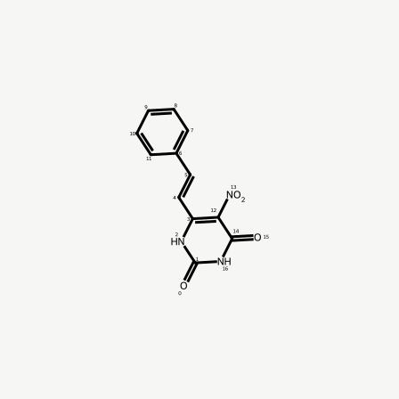 O=c1[nH]c(C=Cc2ccccc2)c([N+](=O)[O-])c(=O)[nH]1